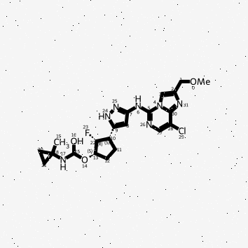 COCc1cn2c(Nc3cc([C@@H]4CC[C@H](OC(O)NC5(C)CC5)[C@@H]4F)[nH]n3)ncc(Cl)c2n1